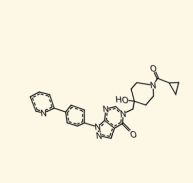 O=C(C1CC1)N1CCC(O)(Cn2cnc3c(cnn3-c3ccc(-c4ccccn4)cc3)c2=O)CC1